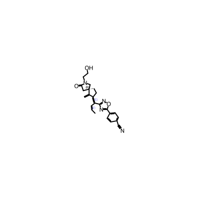 C=C1/C(=C(\C=C/C)c2noc(-c3ccc(C#N)cc3)n2)CC[C@@]12CC(=O)N(CCO)C2